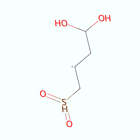 O=[SH](=O)C[CH]CC(O)O